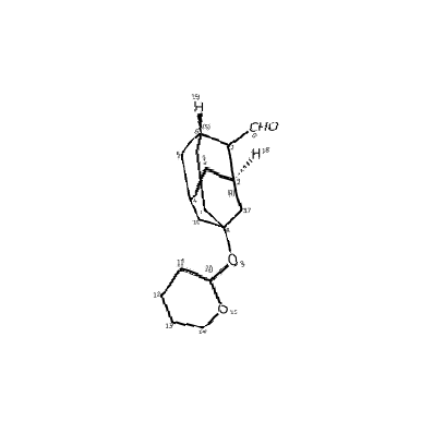 O=CC1[C@@H]2CC3C[C@H]1CC(OC1CCCCO1)(C3)C2